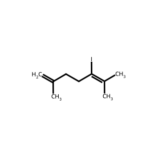 C=C(C)CCC(I)=C(C)C